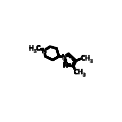 Cc1cn(C2CCN(C)CC2)nc1C